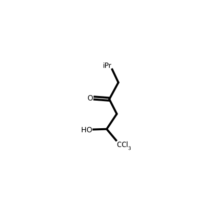 CC(C)CC(=O)CC(O)C(Cl)(Cl)Cl